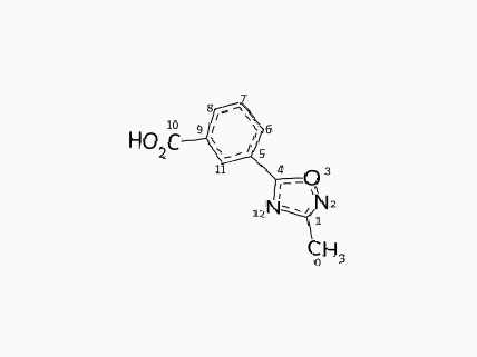 Cc1noc(-c2cccc(C(=O)O)c2)n1